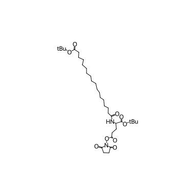 CC(C)(C)OC(=O)CCCCCCCCCCCCCCCCC(=O)NC(CCC(=O)ON1C(=O)CCC1=O)C(=O)OC(C)(C)C